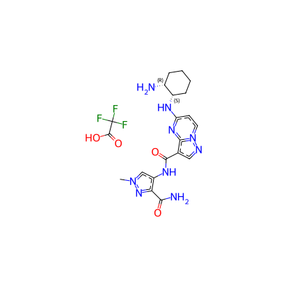 Cn1cc(NC(=O)c2cnn3ccc(N[C@H]4CCCC[C@H]4N)nc23)c(C(N)=O)n1.O=C(O)C(F)(F)F